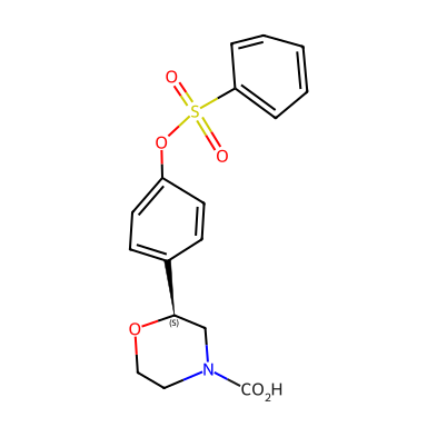 O=C(O)N1CCO[C@@H](c2ccc(OS(=O)(=O)c3ccccc3)cc2)C1